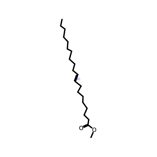 CCCCCCCCCC/C=C/CCCCCCCC(=O)OC